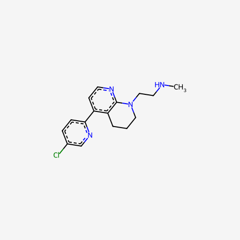 CNCCN1CCCc2c(-c3ccc(Cl)cn3)ccnc21